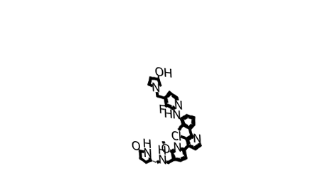 COc1nc(-c2ccnc(-c3cccc(Nc4nccc(CN5CC[C@@H](O)C5)c4F)c3C)c2Cl)ccc1CNC[C@@H]1CCC(=O)N1